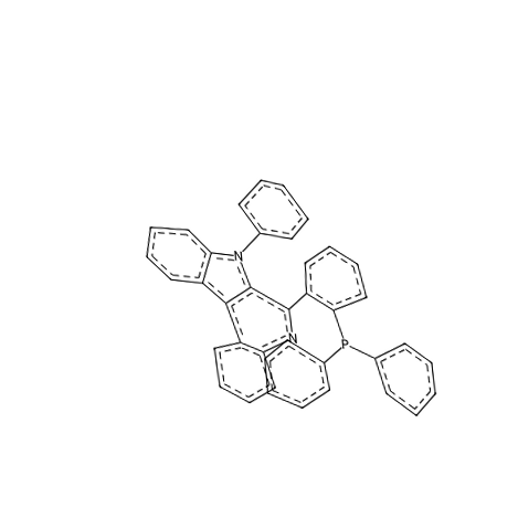 c1ccc(-n2c3ccccc3c3c4ccccc4nc(-c4ccccc4P(c4ccccc4)c4ccccc4)c32)cc1